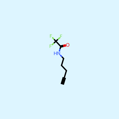 C#CCCCNC(=O)C(F)(F)F